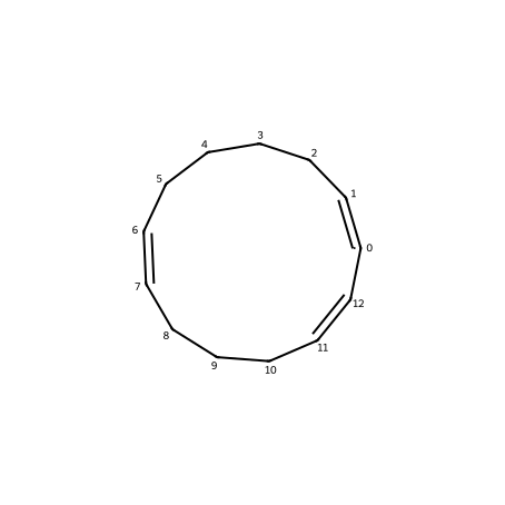 [C]1=CCCCCC=CCCCC=C1